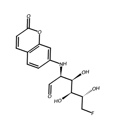 O=C[C@@H](Nc1ccc2ccc(=O)oc2c1)[C@@H](O)[C@H](O)[C@H](O)CF